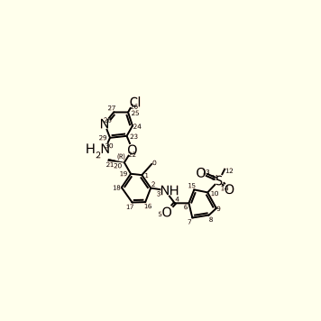 Cc1c(NC(=O)c2cccc(S(C)(=O)=O)c2)cccc1[C@@H](C)Oc1cc(Cl)cnc1N